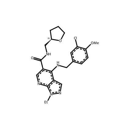 CCn1ncc2c(NCc3ccc(OC)c(Cl)c3)c(C(=O)NC[C@H]3CCCO3)cnc21